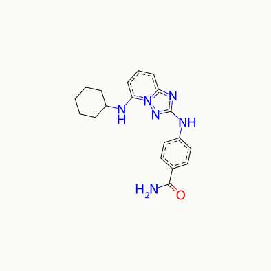 NC(=O)c1ccc(Nc2nc3cccc(NC4CCCCC4)n3n2)cc1